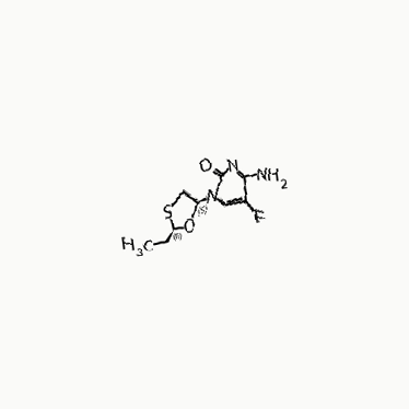 CC[C@@H]1O[C@H](n2cc(F)c(N)nc2=O)CS1